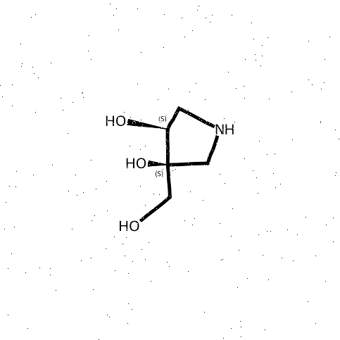 OC[C@@]1(O)CNC[C@@H]1O